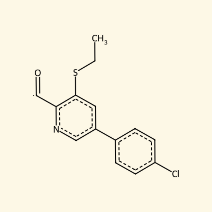 CCSc1cc(-c2ccc(Cl)cc2)cnc1[C]=O